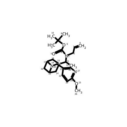 C=CCN(C(=O)OC(C)(C)C)C(C)N1CC2CC(C1)N2Cc1ccc(OC)nc1